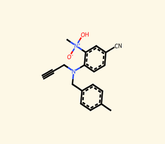 C#CCN(Cc1ccc(C)cc1)c1ccc(C#N)cc1[N+](C)([O-])O